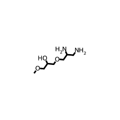 COCC(O)COCC(N)CN